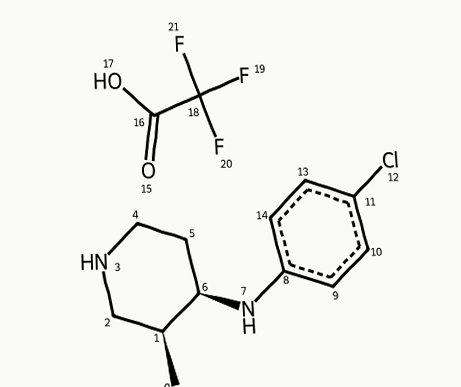 C[C@H]1CNCC[C@H]1Nc1ccc(Cl)cc1.O=C(O)C(F)(F)F